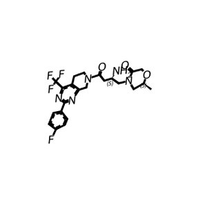 C[C@H]1CN(C[C@@H](N)CC(=O)N2CCc3c(nc(-c4ccc(F)cc4)nc3C(F)(F)F)C2)C(=O)CO1